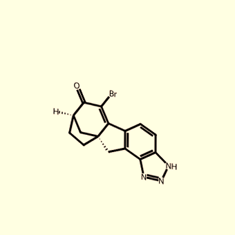 O=C1C(Br)=C2c3ccc4[nH]nnc4c3C[C@@]23CC[C@@H]1C3